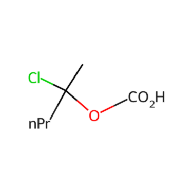 CCCC(C)(Cl)OC(=O)O